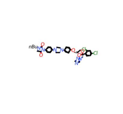 CCCCN1CC(=O)N(c2ccc(N3CCN(c4ccc(OC[C@@H]5CO[C@@](Cn6cncn6)(c6ccc(Cl)cc6Cl)O5)cc4)CC3)cc2)C1=O